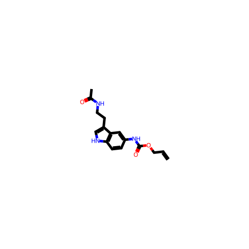 C=CCOC(=O)Nc1ccc2[nH]cc(CCNC(C)=O)c2c1